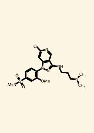 CNS(=O)(=O)c1ccc(-n2nc(NCCCN(C)C)c3cnc(Cl)cc32)c(OC)c1